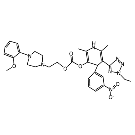 CCn1nnc(C2=C(C)NC(C)=C(OC(=O)OCCN3CCN(c4ccccc4OC)CC3)C2c2cccc([N+](=O)[O-])c2)n1